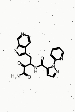 NC(=O)C(=O)C(Cc1csc2cnccc12)NC(=O)c1ccnn1-c1ccccn1